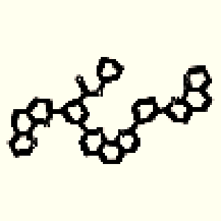 O=C(Oc1ccccc1)c1cc(-c2ccc3ccc4cccnc4c3n2)cc(-c2ccc3ccc4ccc(-c5cccc(-c6ccc7ccc8cccnc8c7n6)c5)nc4c3n2)c1